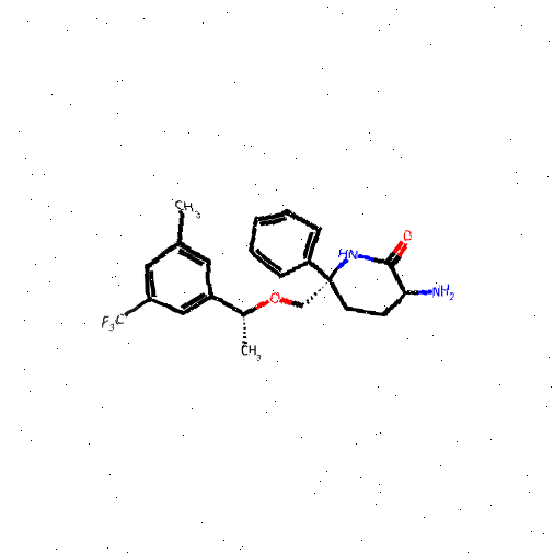 Cc1cc([C@@H](C)OC[C@@]2(c3ccccc3)CCC(N)C(=O)N2)cc(C(F)(F)F)c1